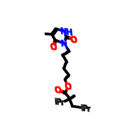 Cc1c[nH]c(=O)n(CCCCCCOC(=O)C(C)(CC(C)C)C(C)C)c1=O